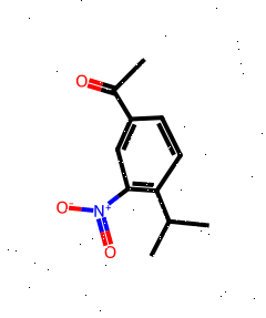 CC(=O)c1ccc(C(C)C)c([N+](=O)[O-])c1